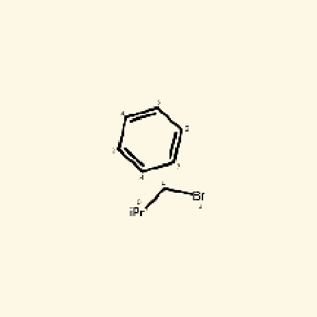 CC(C)CBr.c1ccccc1